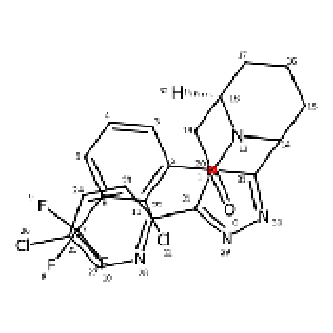 O=C(c1cccc(C(F)(F)F)c1Cl)N1C2CCC[C@@H]1Cn1c(-c3ccc(Cl)cn3)nnc12